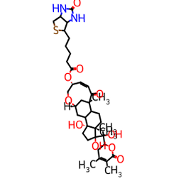 CC1=C(C)C(=O)OC(C(C)(O)[C@]2(O)CC[C@@]3(O)C4C[C@H]5C[C@](C)(C(=O)/C=C\[C@@H](OC(=O)CCCCC6SCC7NC(=O)NC76)CO5)C4CC[C@@]32C)C1